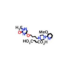 COc1cccnc1N1CCN(CCCCOc2cnn(C)c(=O)n2)CC1.O=C(O)/C=C/C(=O)O